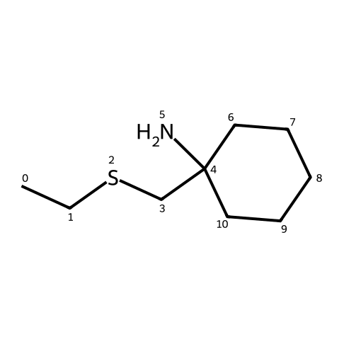 CCSCC1(N)CCCCC1